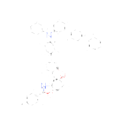 c1ccc(-c2ccc(-c3cccc(N(c4ccccc4)c4ccc(-c5ccc6c(c5)oc5ccc7oc(-c8ccccc8)nc7c56)cc4)c3)cc2)cc1